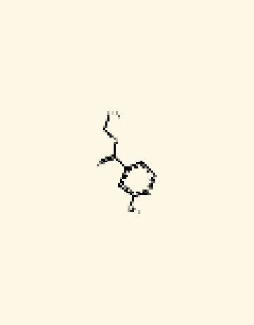 CCOC(=O)c1cnnc(N)c1